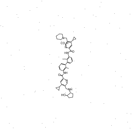 Cc1c(NC(=O)c2cc(C3CC3)c(CN[C@H]3CCC[C@H]3O)cn2)cccc1-c1cccc(NC(=O)c2cc(C3CC3)c(CN3CCCC[C@H]3C(=O)O)cn2)c1C